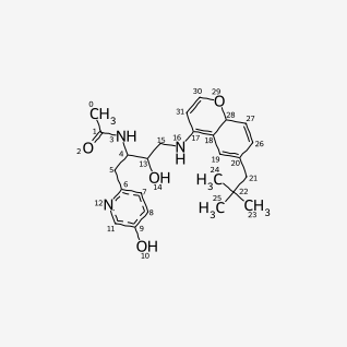 CC(=O)NC(Cc1ccc(O)cn1)C(O)CNC1=C2C=C(CC(C)(C)C)C=CC2OC=C1